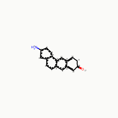 Nc1ccc2c(ccc3cc4c(cc32)=CCC(=O)C=4)c1